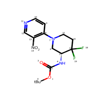 CC(C)(C)OC(=O)N[C@@H]1CN(c2ccncc2[N+](=O)[O-])CCC1(F)F